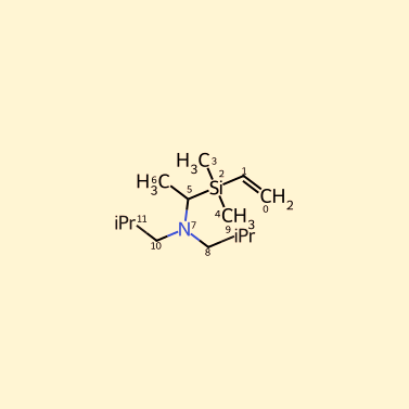 C=C[Si](C)(C)C(C)N(CC(C)C)CC(C)C